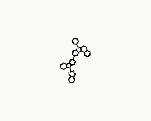 C1=CCC(N2C3=C(c4ccccc4CC3)C3C=C(c4ccc5c(c4)c4c(n5-c5ncc6c(n5)=CCCC=6)CCC=C4)C=CC32)C=C1